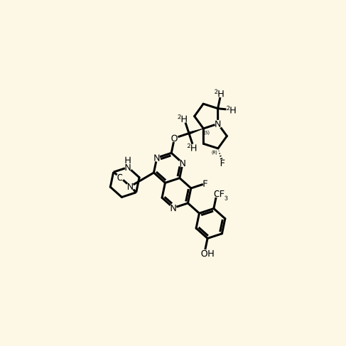 [2H]C1([2H])CC[C@@]2(C([2H])([2H])Oc3nc(N4CC5CCC4CN5)c4cnc(-c5cc(O)ccc5C(F)(F)F)c(F)c4n3)C[C@@H](F)CN12